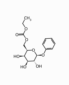 CCOC(=O)OC[C@H]1O[C@@H](Oc2ccccc2)[C@H](O)[C@@H](O)[C@H]1O